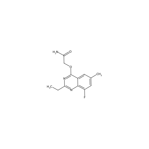 CCc1nc(OCC(N)=O)c2cc(C)cc(F)c2n1